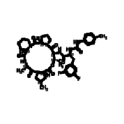 Cc1ccc(NC(=O)N[C@@H](Cc2cc(F)cc(F)c2)C(=O)N[C@@H]2C(=O)N3CCC[C@H]3C(=O)N3CCOC[C@H]3C(=O)N[C@@H](C)C(=O)N3C[C@H](C)C[C@H]3C(=O)O[C@H]2C)cc1